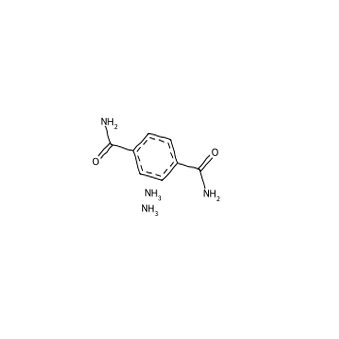 N.N.NC(=O)c1ccc(C(N)=O)cc1